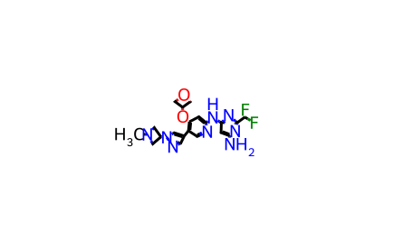 CN1CC(n2cc(-c3cnc(Nc4cc(N)nc(C(F)F)n4)cc3OC3COC3)cn2)C1